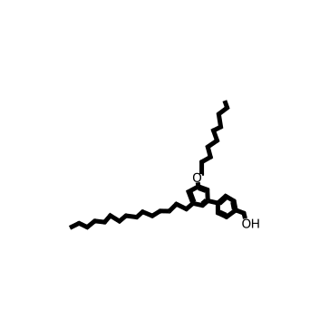 CCCCCCCCCCCCCCCc1cc(OCCCCCCCCCC)cc(-c2ccc(CO)cc2)c1